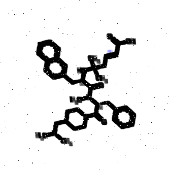 CN(C)CC1CCN(C(=O)[C@@H](Cc2ccccc2)N(C)C(=O)[C@@H](Cc2ccc3ccccc3c2)NC(C)(C)C/C=C/C(=O)O)CC1